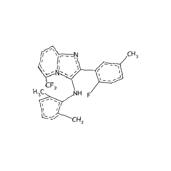 Cc1ccc(F)c(-c2nc3cccc(C(F)(F)F)n3c2Nc2c(C)cccc2C)c1